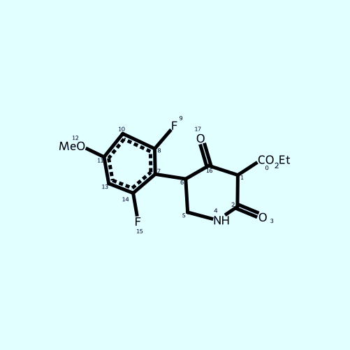 CCOC(=O)C1C(=O)NCC(c2c(F)cc(OC)cc2F)C1=O